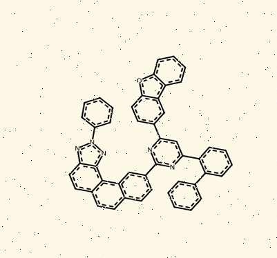 c1ccc(-c2ccccc2-c2cc(-c3ccc4oc5ccccc5c4c3)nc(-c3ccc4ccc5ccc6nn(-c7ccccc7)nc6c5c4c3)n2)cc1